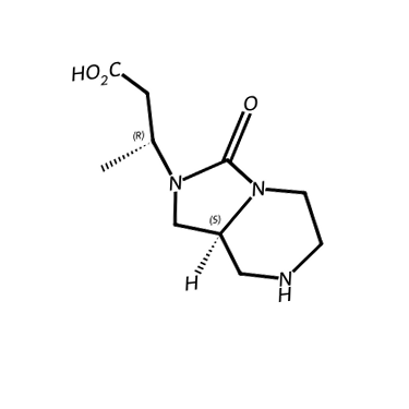 C[C@H](CC(=O)O)N1C[C@@H]2CNCCN2C1=O